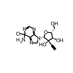 C#C[C@@]1(O)[C@H](O)[C@@H](CO)O[C@H]1N1CN=C2C1=NC=NC2(N)Cl